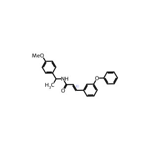 COc1ccc(C(C)NC(=O)/C=C/c2cccc(Oc3ccccc3)c2)cc1